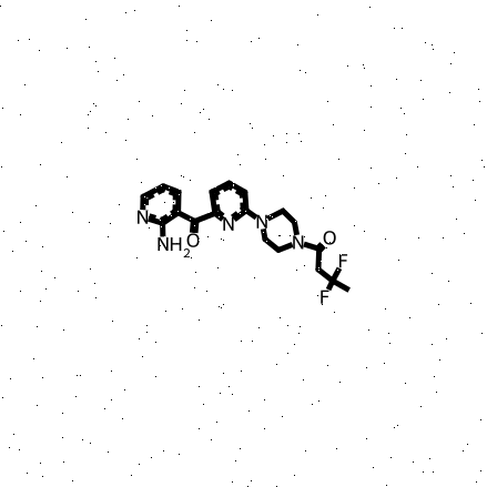 CC(F)(F)CC(=O)N1CCN(c2cccc(C(=O)c3cccnc3N)n2)CC1